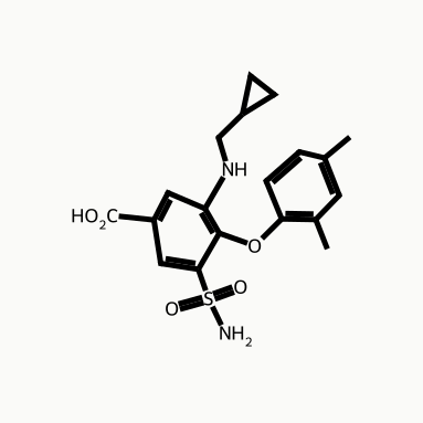 Cc1ccc(Oc2c(NCC3CC3)cc(C(=O)O)cc2S(N)(=O)=O)c(C)c1